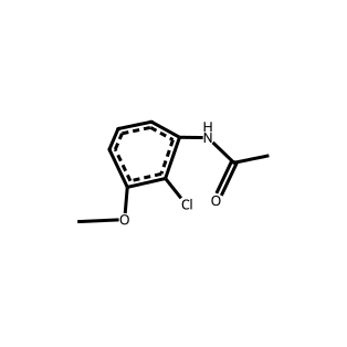 COc1cccc(NC(C)=O)c1Cl